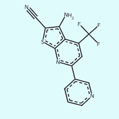 N#Cc1sc2nc(-c3cccnc3)cc(C(F)(F)F)c2c1N